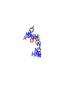 Cc1ccc(-n2nc(C(C)(C)C)cc2NC(=O)c2csc3c2CCN(Cc2cnc4[nH]ncc4c2)C3)cc1